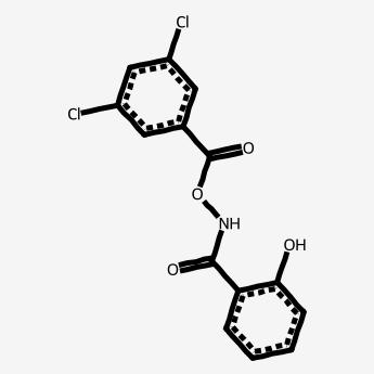 O=C(ONC(=O)c1ccccc1O)c1cc(Cl)cc(Cl)c1